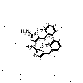 Nc1ncc(Cc2ccccc2Cl)o1.Nc1ncc(Cc2ccccc2Cl)o1